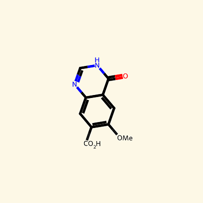 COc1cc2c(=O)[nH]cnc2cc1C(=O)O